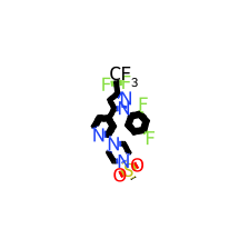 CS(=O)(=O)N1CCN(c2cc(C3CC(C(F)(F)C(F)(F)F)=NN3c3ccc(F)cc3F)ccn2)CC1